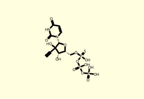 C#CC1(O)[C@@H](O)[C@@H](COP(O)(=S)OP(=O)(O)OP(=O)(O)O)O[C@H]1n1ccc(=O)[nH]c1=O